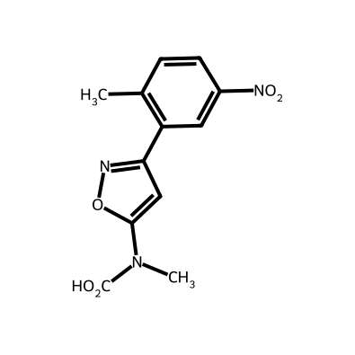 Cc1ccc([N+](=O)[O-])cc1-c1cc(N(C)C(=O)O)on1